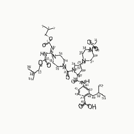 CC(C)COC(=O)N=C(NC(=O)OCC(C)C)N1CCN(C(=O)N2C[C@@H](N3CCN(S(C)(=O)=O)CC3)C[C@H]2C(=O)Nc2ccc(C(=O)O)c(CC(C)C)c2)CC1